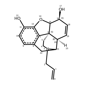 C=CCN1CC[C@]23c4c5ccc(O)c4OC2[C@@H](O)C=C[C@H]3C1C5